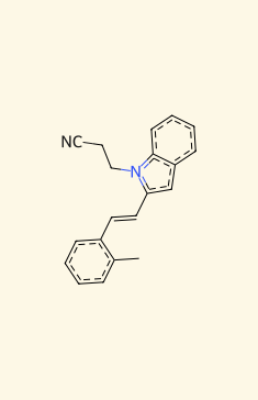 Cc1ccccc1/C=C/c1cc2ccccc2n1CCC#N